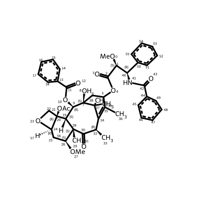 CO[C@H](C(=O)OC1C[C@@]2(O)[C@H](OC(=O)c3ccccc3)[C@H]3[C@@]4(OC(C)=O)CO[C@@H]4C[C@H](OC)[C@@]3(C)C(=O)[C@H](C)C(=C1C)C2(C)C)[C@H](NC(=O)c1ccccc1)c1ccccc1